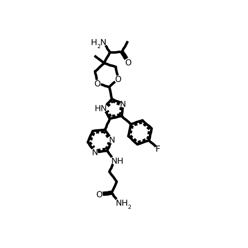 CC(=O)C(N)C1(C)COC(c2nc(-c3ccc(F)cc3)c(-c3ccnc(NCCC(N)=O)n3)[nH]2)OC1